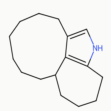 c1[nH]c2c3c1CCCCCCCC3CCCC2